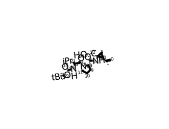 C=C[C@@H]1C[C@]1(NC(=O)[C@@H]1CCCN1C(=O)C(NC(=O)OC(C)(C)C)C(C)C)C(=O)O